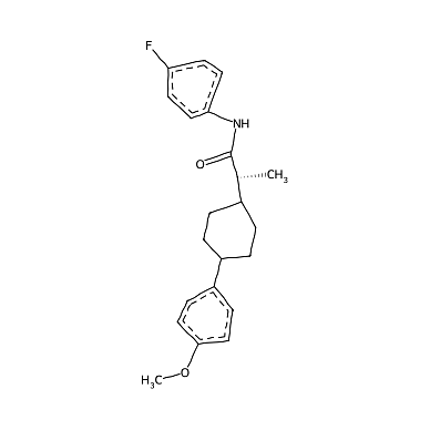 COc1ccc(C2CCC([C@@H](C)C(=O)Nc3ccc(F)cc3)CC2)cc1